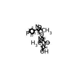 Cc1onc(-c2ccc(F)cc2)c1COc1cc(C(=O)N2CC(O)C2)n(C)n1